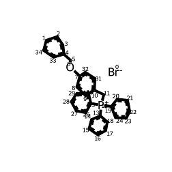 [Br-].c1ccc(COc2ccc(C[P+](c3ccccc3)(c3ccccc3)c3ccccc3)cc2)cc1